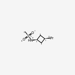 CC(C)[C@H]1C[C@@H](NS(C)(=O)=O)C1